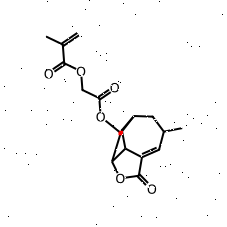 C=C(C)C(=O)OCC(=O)OC1C2CC(C)C=C3C(=O)OC1C3C2